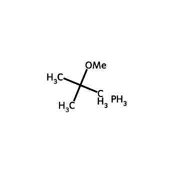 COC(C)(C)C.P